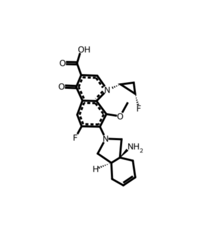 COc1c(N2C[C@@H]3CC=CC[C@@]3(N)C2)c(F)cc2c(=O)c(C(=O)O)cn([C@@H]3C[C@@H]3F)c12